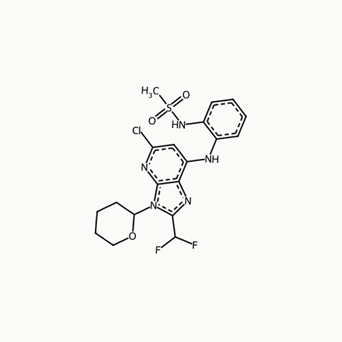 CS(=O)(=O)Nc1ccccc1Nc1cc(Cl)nc2c1nc(C(F)F)n2C1CCCCO1